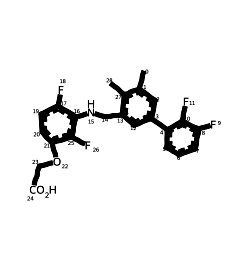 Cc1cc(-c2cccc(F)c2F)cc(CNc2c(F)ccc(OCC(=O)O)c2F)c1C